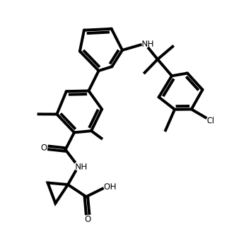 Cc1cc(C(C)(C)Nc2cccc(-c3cc(C)c(C(=O)NC4(C(=O)O)CC4)c(C)c3)c2)ccc1Cl